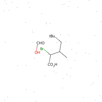 CC(CC(C)(C)C)C(Br)C(=O)O.O=CO